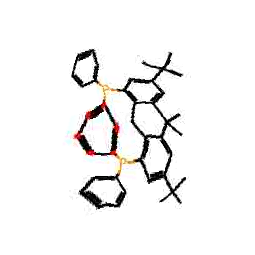 CC(C)(C)c1cc(P(c2ccccc2)c2ccccc2)c2c(c1)C(C)(C)c1cc(C(C)(C)C)cc(P(c3ccccc3)c3ccccc3)c1C2